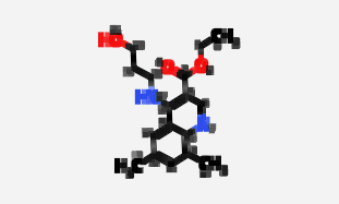 CCOC(=O)c1cnc2c(C)cc(C)cc2c1NCCCO